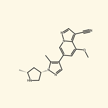 COc1cc(-c2cnn([C@@H]3CN[C@H](C)C3)c2C)cn2ncc(C#N)c12